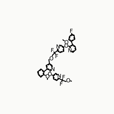 COCC(F)(F)c1ccc(Oc2ncc(COCC(F)(F)c3ccc(Oc4ncccc4-c4ccc(F)cc4OC)cn3)cc2-c2ccccc2OC)cn1